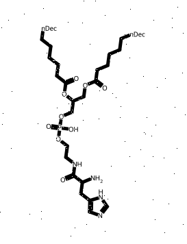 CCCCCCCCCCCCCCCC(=O)OCC(COP(=O)(O)OCCNC(=O)C(N)Cc1cnc[nH]1)OC(=O)CCCCCCCCCCCCCCC